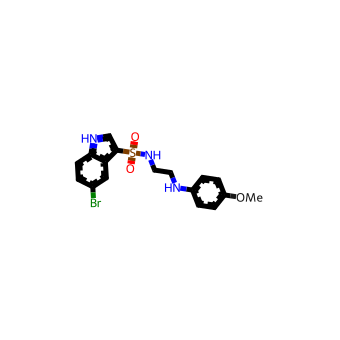 COc1ccc(NCCNS(=O)(=O)c2c[nH]c3ccc(Br)cc23)cc1